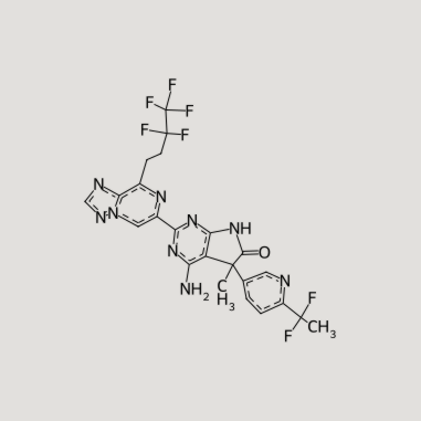 CC(F)(F)c1ccc(C2(C)C(=O)Nc3nc(-c4cn5ncnc5c(CCC(F)(F)C(F)(F)F)n4)nc(N)c32)cn1